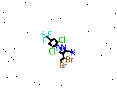 N#Cc1nn(-c2c(Cl)cc(C(F)(F)F)cc2Cl)cc1C(Br)=CBr